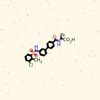 Cc1c(Cl)cccc1S(=O)(=O)Nc1cccc(-c2ccc(C(=O)NC(C(=O)O)C(C)C)cc2)c1